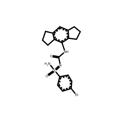 CCc1ccc(S(N)(=O)=NC(=O)Nc2c3c(cc4c2CCC4)CCC3)cc1